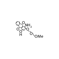 COCCOCCOc1cc(O)c2c(c1N)C(=O)c1ccccc1C2=O